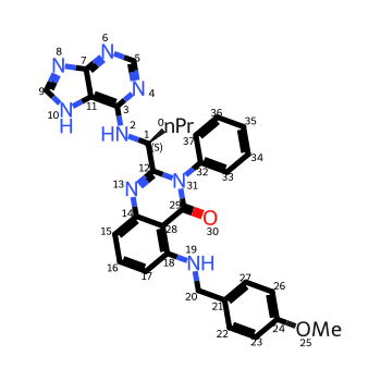 CCC[C@H](Nc1ncnc2nc[nH]c12)c1nc2cccc(NCc3ccc(OC)cc3)c2c(=O)n1-c1ccccc1